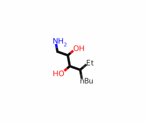 CCCCC(CC)C(O)C(O)CN